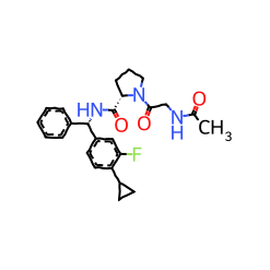 CC(=O)NCC(=O)N1CCC[C@H]1C(=O)N[C@@H](c1ccccc1)c1ccc(C2CC2)c(F)c1